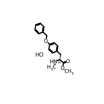 CN[C@@H](Cc1ccc(OCc2ccccc2)cc1)C(=O)OC.Cl